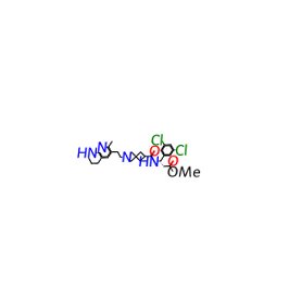 COC(=O)C[C@H](NC(=O)C1CC2(C1)CN(CCc1cc3c(nc1C)NCCC3)C2)c1cc(Cl)cc(Cl)c1